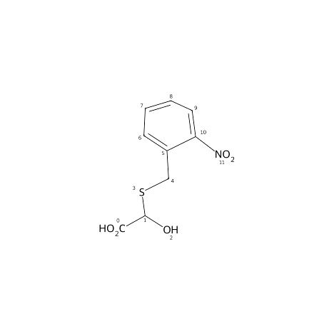 O=C(O)C(O)SCc1ccccc1[N+](=O)[O-]